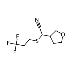 N#CC(SCCC(F)(F)F)C1CCOC1